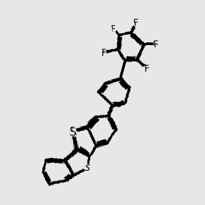 Fc1c(F)c(F)c(-c2ccc(-c3ccc4c(c3)sc3c5ccccc5sc43)cc2)c(F)c1F